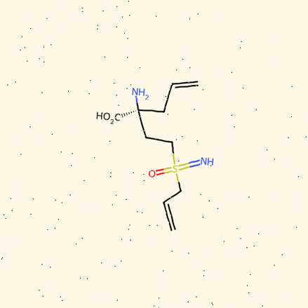 C=CC[C@](N)(CCS(=N)(=O)CC=C)C(=O)O